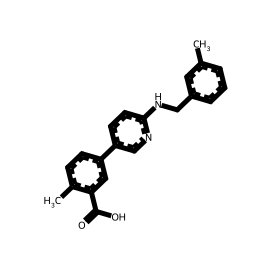 Cc1cccc(CNc2ccc(-c3ccc(C)c(C(=O)O)c3)cn2)c1